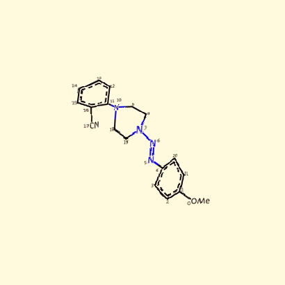 COc1ccc(N=NN2CCN(c3ccccc3C#N)CC2)cc1